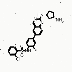 N[C@H]1CC[C@@H](Nc2ncc3cc(-c4ccc(NS(=O)(=O)c5ccccc5Cl)c(F)c4)ccc3n2)C1